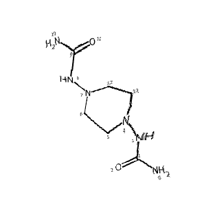 NC(=O)NN1CCN(NC(N)=O)CC1